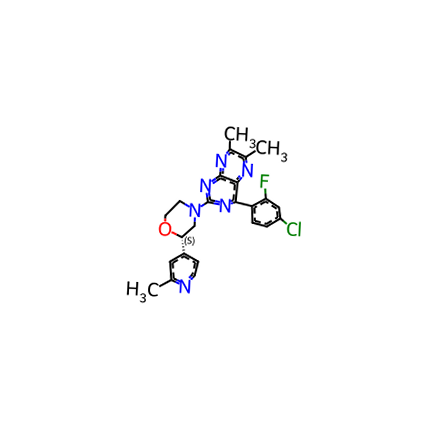 Cc1cc([C@H]2CN(c3nc(-c4ccc(Cl)cc4F)c4nc(C)c(C)nc4n3)CCO2)ccn1